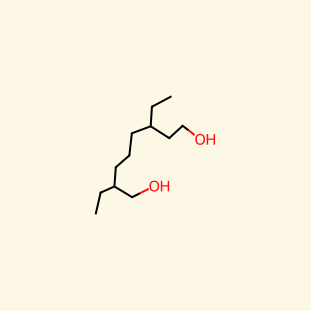 CCC(CO)CCCC(CC)CCO